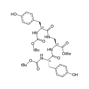 COC(=O)[C@H](CNC(=O)[C@H](Cc1ccc(O)cc1)NC(=O)OC(C)(C)C)NC(=O)[C@H](Cc1ccc(O)cc1)NC(=O)OC(C)(C)C